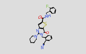 N#Cc1ccccc1Cn1c(N2CCCCC2)nc2cc(C(=O)NCc3ccccc3F)sc2c1=O